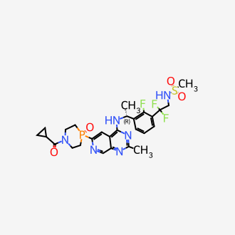 Cc1nc(N[C@H](C)c2cccc(C(F)(F)CNS(C)(=O)=O)c2F)c2cc(P3(=O)CCN(C(=O)C4CC4)CC3)ncc2n1